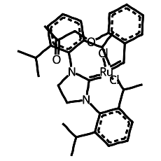 CC(=O)COc1ccccc1[CH]=[Ru]([Cl])([Cl])=[C]1N(c2c(C(C)C)cccc2C(C)C)CCN1c1c(C(C)C)cccc1C(C)C